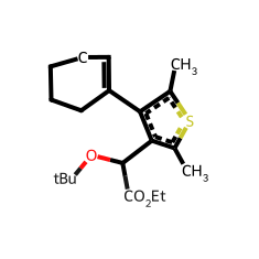 CCOC(=O)C(OC(C)(C)C)c1c(C)sc(C)c1C1=CCCCC1